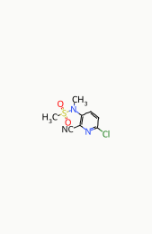 CN(c1ccc(Cl)nc1C#N)S(C)(=O)=O